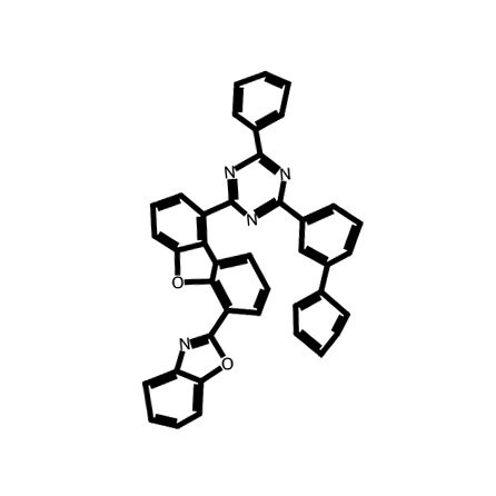 c1ccc(-c2cccc(-c3nc(-c4ccccc4)nc(-c4cccc5oc6c(-c7nc8ccccc8o7)cccc6c45)n3)c2)cc1